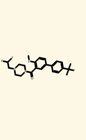 COc1ccc(-c2ccc(C(C)(C)F)cc2)cc1C(=O)N1CCN(CC(F)F)CC1